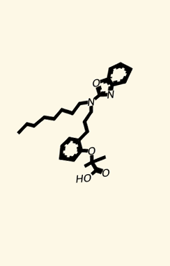 CCCCCCCCN(CCCc1ccccc1OC(C)(C)C(=O)O)c1nc2ccccc2o1